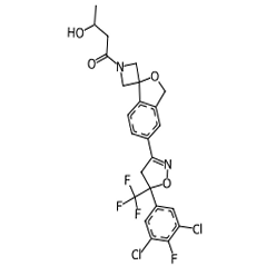 CC(O)CC(=O)N1CC2(C1)OCc1cc(C3=NOC(c4cc(Cl)c(F)c(Cl)c4)(C(F)(F)F)C3)ccc12